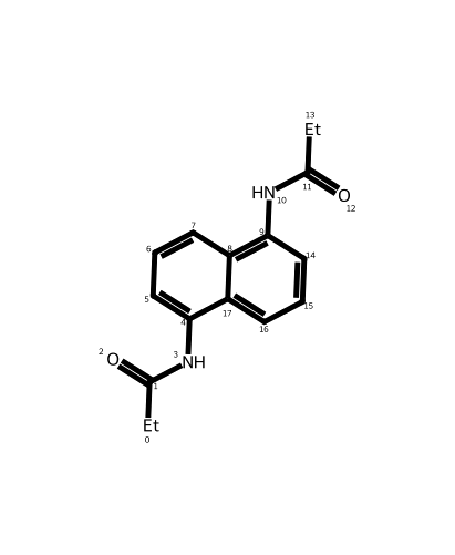 CCC(=O)Nc1cccc2c(NC(=O)CC)cccc12